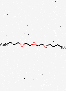 CNCCCOCCOCCOCCCC(C)(C)C